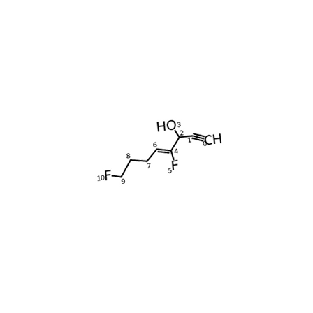 C#CC(O)C(F)=CCCCF